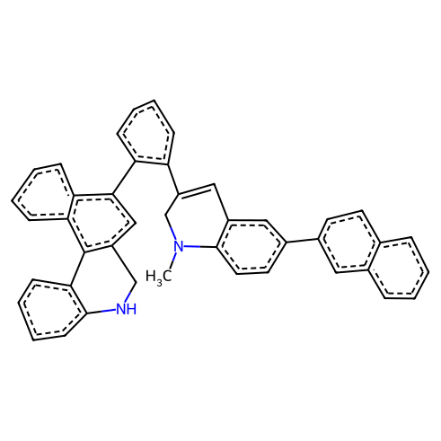 CN1CC(c2ccccc2-c2cc3c(c4ccccc24)-c2ccccc2NC3)=Cc2cc(-c3ccc4ccccc4c3)ccc21